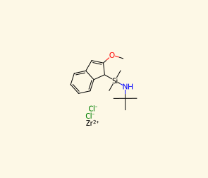 COC1=Cc2ccccc2C1[Si](C)(C)NC(C)(C)C.[Cl-].[Cl-].[Zr+2]